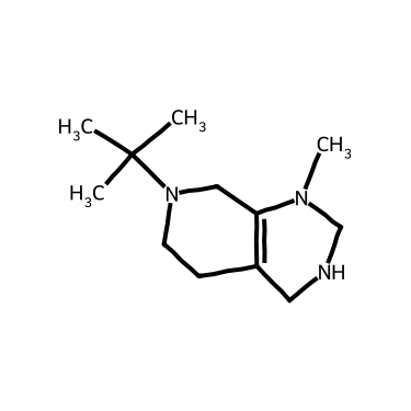 CN1CNCC2=C1CN(C(C)(C)C)CC2